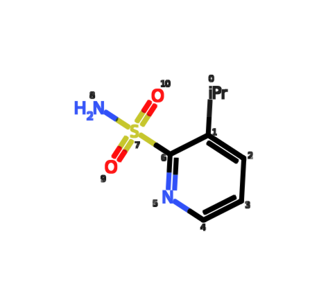 CC(C)c1cccnc1S(N)(=O)=O